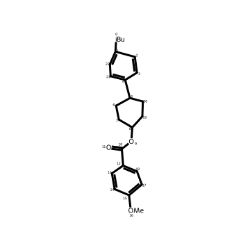 CCC(C)c1ccc(C2CCC(OC(=O)c3ccc(OC)cc3)CC2)cc1